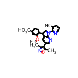 Cc1noc(C)c1-c1cnc2c(c1)c(-c1ccc(C(=O)O)cc1OC(F)(F)F)cn2-c1ncccc1C#N